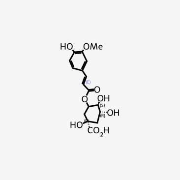 COc1cc(/C=C/C(=O)OC2C[C@@](O)(C(=O)O)C[C@@H](O)[C@@H]2O)ccc1O